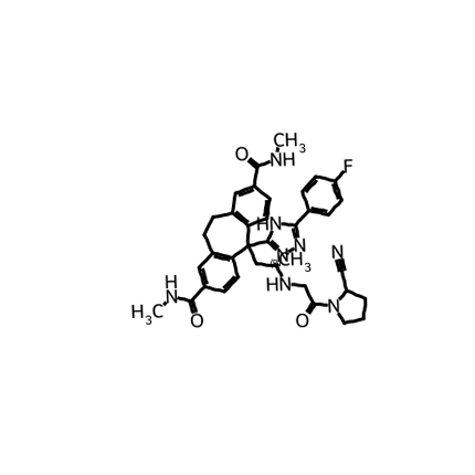 CNC(=O)c1ccc2c(c1)CCc1cc(C(=O)NC)ccc1C2(C[C@@H](C)NCC(=O)N1CCCC1C#N)c1nnc(-c2ccc(F)cc2)[nH]1